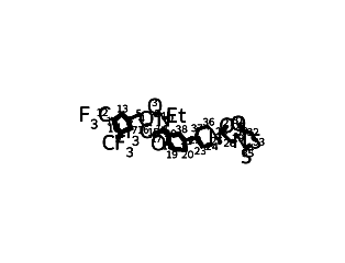 CCN(C(=O)OCc1cc(C(F)(F)F)cc(C(F)(F)F)c1)c1c(C)oc2ccc(C3=CCN(C(=O)CN4C(=O)CSC4=S)CC3)cc12